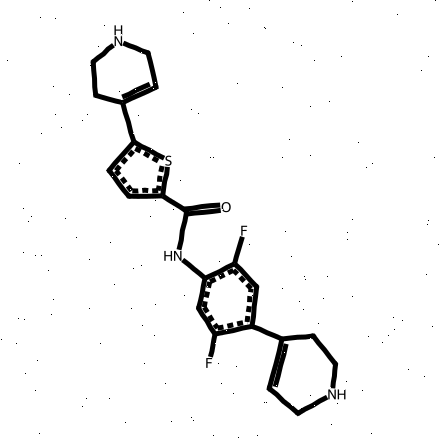 O=C(Nc1cc(F)c(C2=CCNCC2)cc1F)c1ccc(C2=CCNCC2)s1